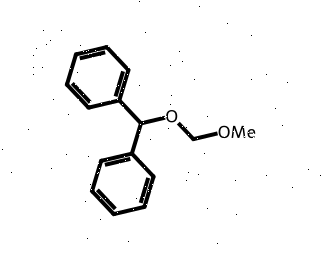 COCOC(c1ccccc1)c1ccccc1